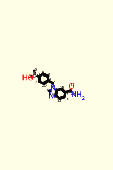 CB(O)c1ccc(Cn2cnc3ccc(C(N)=O)cc32)cc1